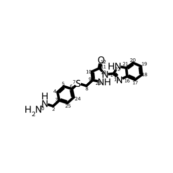 NNCc1ccc(SCc2cc(=O)n(-c3nc4ccccc4[nH]3)[nH]2)cc1